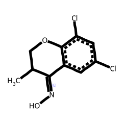 CC1COc2c(Cl)cc(Cl)cc2/C1=N/O